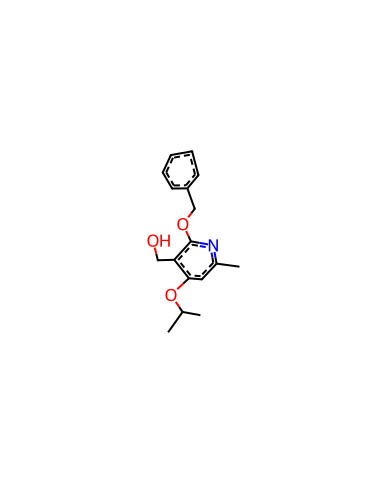 Cc1cc(OC(C)C)c(CO)c(OCc2ccccc2)n1